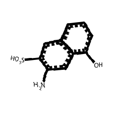 Nc1cc2c(O)cccc2cc1S(=O)(=O)O